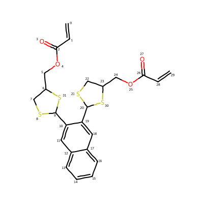 C=CC(=O)OCC1CSC(c2cc3ccccc3cc2C2SCC(COC(=O)C=C)S2)S1